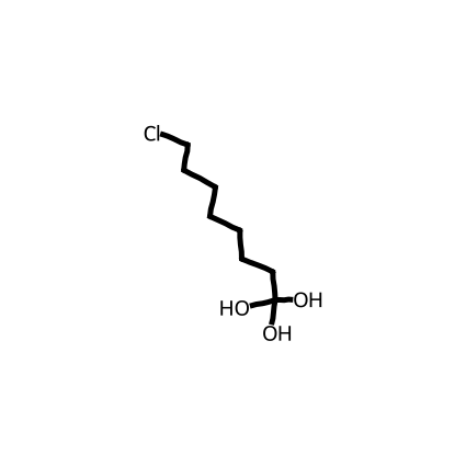 OC(O)(O)CCCCCCCCl